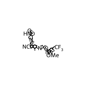 COc1nc(N2CCC3(CCN(Cc4ccc5c(cc(C#N)n5C[C@H](C)N5CCC(NS(C)(=O)=O)CC5)c4C)C3)C2)c2cc(CC(F)(F)F)sc2n1